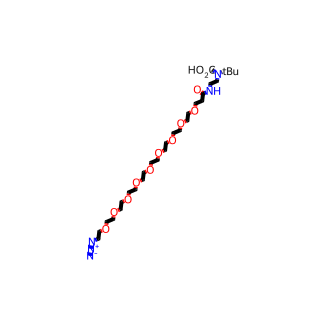 CC(C)(C)N(CCNC(=O)CCOCCOCCOCCOCCOCCOCCOCCOCCOCCN=[N+]=[N-])C(=O)O